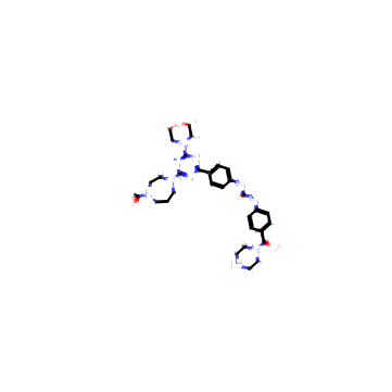 CC(=O)N1CCCN(c2nc(-c3ccc(NC(=O)Nc4ccc(C(=O)N5CCNCC5)cc4)cc3)nc(N3CCOCC3)n2)CC1